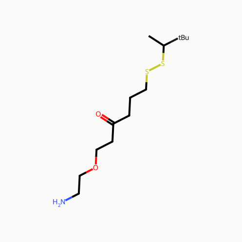 CC(SSCCCC(=O)CCOCCN)C(C)(C)C